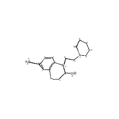 Nc1ccc2c(c1)CCC(C=O)N2CCN1CCCCC1